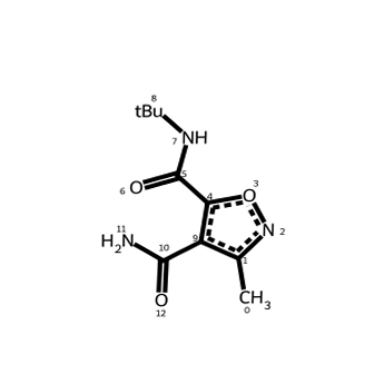 Cc1noc(C(=O)NC(C)(C)C)c1C(N)=O